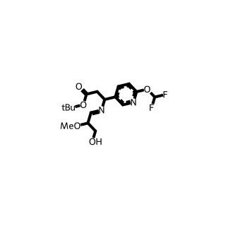 COC(C=NC(CC(=O)OC(C)(C)C)c1ccc(OC(F)F)nc1)CO